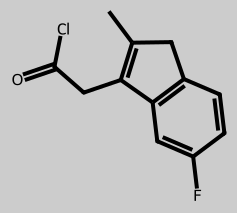 CC1=C(CC(=O)Cl)c2cc(F)ccc2C1